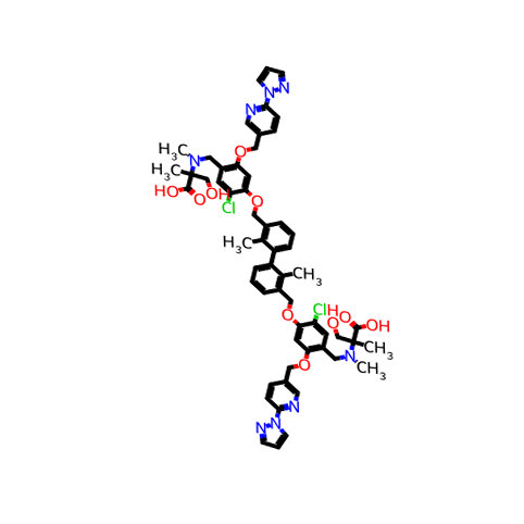 Cc1c(COc2cc(OCc3ccc(-n4cccn4)nc3)c(CN(C)C(C)(CO)C(=O)O)cc2Cl)cccc1-c1cccc(COc2cc(OCc3ccc(-n4cccn4)nc3)c(CN(C)C(C)(CO)C(=O)O)cc2Cl)c1C